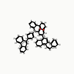 c1ccc(-c2ccccc2N(c2ccc(-c3cc4ccccc4c4ccccc34)cc2)c2cccc(-c3cc4c5ccccc5ccc4c4ccccc34)c2)cc1